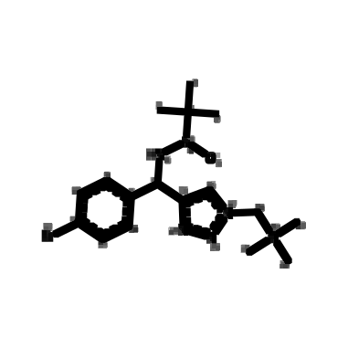 CC(C)(C)[S+]([O-])NC(c1ccc(Br)cc1)c1cn(C[Si](C)(C)C)nn1